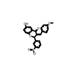 COc1ccc(C=C2C(=O)c3cc(O)ccc3OC2c2cccc([N+](=O)[O-])c2)cc1